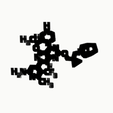 Cc1nc(N)cc(-c2nc3c4c(nc(OCC5(CN6CC7CCC(C6)O7)CC5)nc4c2F)N2CCNC[C@H]2[C@H](C)O3)c1C(F)(F)F